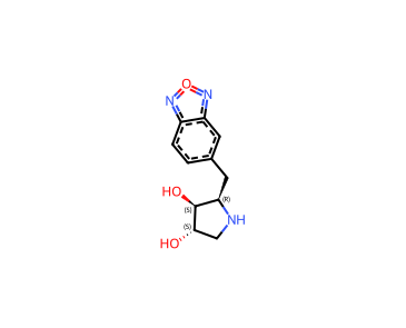 O[C@@H]1[C@@H](O)CN[C@@H]1Cc1ccc2nonc2c1